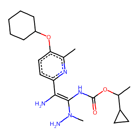 Cc1nc(/C(N)=C(\NC(=O)OC(C)C2CC2)N(C)N)ccc1OC1CCCCC1